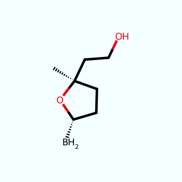 B[C@H]1CC[C@](C)(CCO)O1